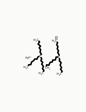 CCCCCCCCP(CCCCCCCC)CCCCCCCC.CCCCCCCCP(CCCCCCCC)CCCCCCCC.[Cl-].[Cl-].[Pd+2]